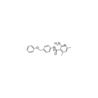 Cc1cc(C)c(C(=O)Nc2ccc(COc3ccccc3)cc2)c(N)n1